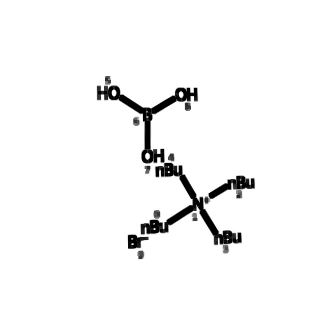 CCCC[N+](CCCC)(CCCC)CCCC.OB(O)O.[Br-]